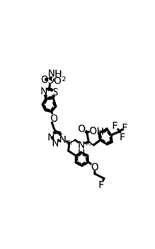 NS(=O)(=O)c1nc2ccc(OCc3cn([C@@H](CN[C@H](Cc4ccc(C(F)(F)F)cc4)C(=O)O)Cc4ccc(OCCF)cc4)nn3)cc2s1